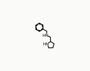 c1ccc(CNCC2CCCN2)cc1